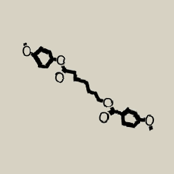 COc1ccc(OC(=O)CCCCCCOC(=O)c2ccc(OC)cc2)cc1